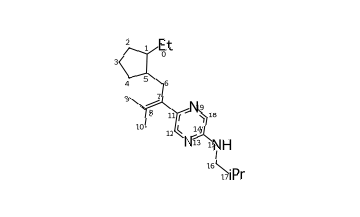 CCC1CCCC1CC(=C(C)C)c1cnc(NCC(C)C)cn1